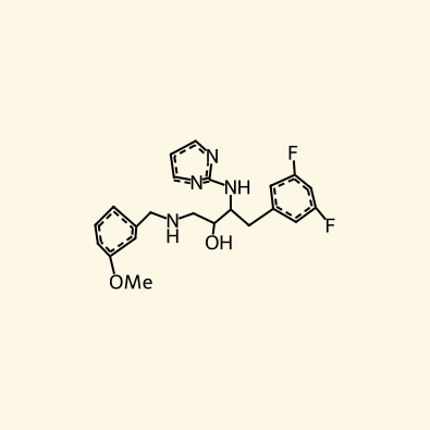 COc1cccc(CNCC(O)C(Cc2cc(F)cc(F)c2)Nc2ncccn2)c1